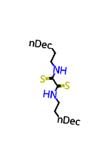 CCCCCCCCCCCCNC(=S)C(=S)NCCCCCCCCCCCC